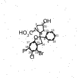 O=C(O)N1C[C@@H](O)C[C@H]1C1(c2ccccc2)Cc2c(cc(F)c(Cl)c2Br)O1